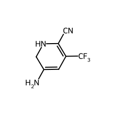 N#CC1=C(C(F)(F)F)C=C(N)CN1